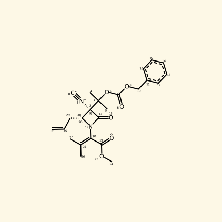 [C-]#[N+][C@]1(C(C)(C)OC(=O)OCc2ccccc2)C(=O)N(C(C(=O)OC)=C(C)C)[C@@H]1CC=C